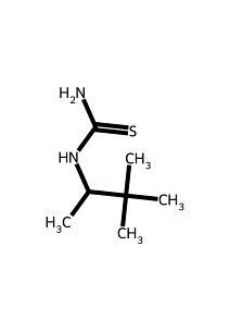 CC(NC(N)=S)C(C)(C)C